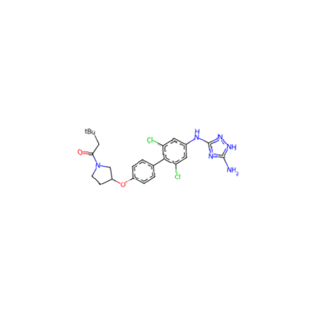 CC(C)(C)CC(=O)N1CCC(Oc2ccc(-c3c(Cl)cc(Nc4n[nH]c(N)n4)cc3Cl)cc2)C1